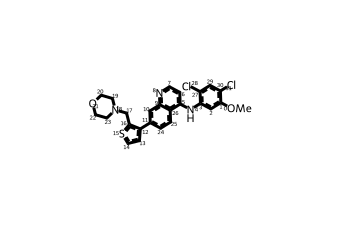 COc1cc(Nc2ccnc3cc(-c4ccsc4CN4CCOCC4)ccc23)c(Cl)cc1Cl